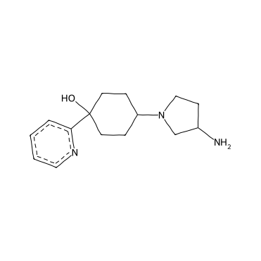 NC1CCN(C2CCC(O)(c3ccccn3)CC2)C1